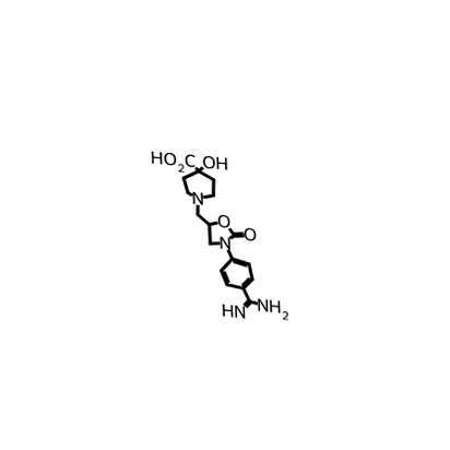 N=C(N)c1ccc(N2CC(CN3CCC(O)(C(=O)O)CC3)OC2=O)cc1